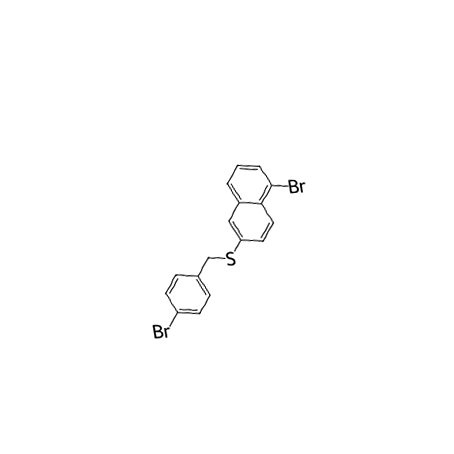 Brc1ccc(CSc2ccc3c(Br)cccc3c2)cc1